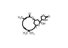 CC1=CC(=O)O[C@@H]2C[C@@H](CCC(C)(C)C=CCC1)O[C@@](O)(C1CSC(=O)N1)C2